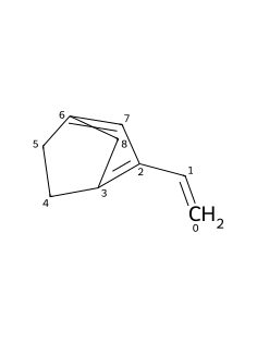 C=CC1=C2CCC(=C1)C2